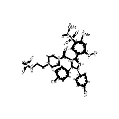 CCOc1cc(OC)c(S(=O)(=O)N(C)OC)cc1C1=N[C@@H](c2ccc(Cl)cc2)[C@@H](c2ccc(Cl)cc2)N1C(=O)N1CCN(CCNS(C)(=O)=O)CC1